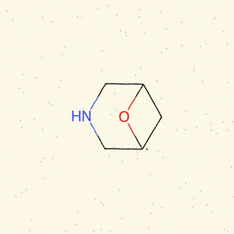 C1NCC2C[C]1O2